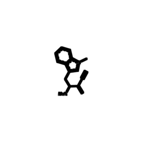 C#CC(=C)C(Cc1cn(C)c2ccccc12)NC